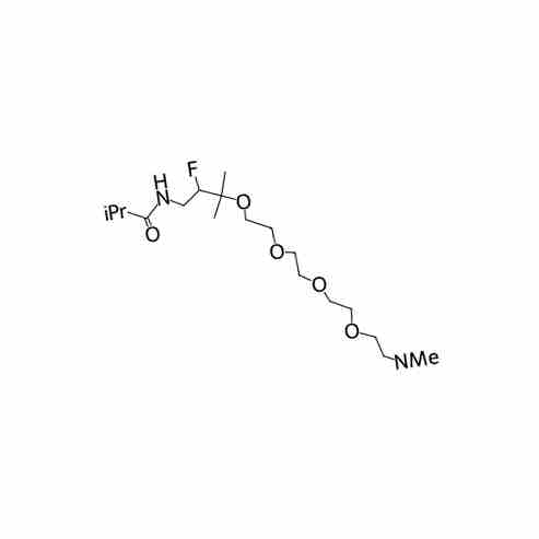 CNCCOCCOCCOCCOC(C)(C)C(F)CNC(=O)C(C)C